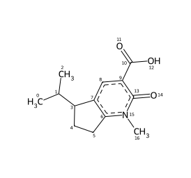 CC(C)C1CCc2c1cc(C(=O)O)c(=O)n2C